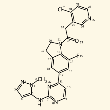 Cn1nccc1Nc1nccc(-c2cc(F)c3c(c2)CCN3C(=O)Cc2cnccc2Cl)n1